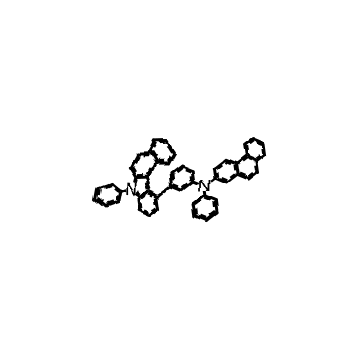 c1ccc(N(c2cccc(-c3cccc4c3c3c5ccccc5ccc3n4-c3ccccc3)c2)c2ccc3c(ccc4ccccc43)c2)cc1